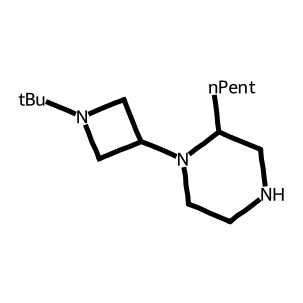 CCCCCC1CNCCN1C1CN(C(C)(C)C)C1